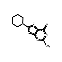 Cc1nc2nc(N3CCCCC3)[nH]c2c(=O)[nH]1